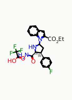 CCOC(=O)c1cc2ccccc2n1C1C[C@@H](c2ccc(F)cc2)[C@@H](C(N)=O)N1.O=C(O)C(F)(F)F